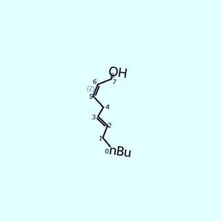 CCCCCC=CC/C=C\CO